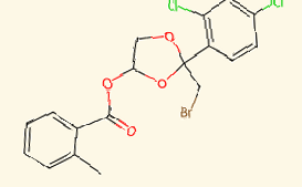 Cc1ccccc1C(=O)OC1COC(CBr)(c2ccc(Cl)cc2Cl)O1